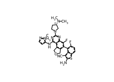 CN(C)[C@H]1CCN(c2nc(Nc3ccnn3C)c3c4c(c(-c5c(F)ccc6sc(N)c(C#N)c56)c(F)c3n2)COC4)C1